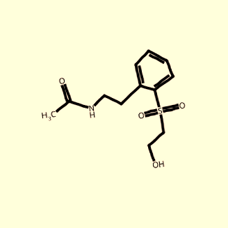 CC(=O)NCCc1ccccc1S(=O)(=O)CCO